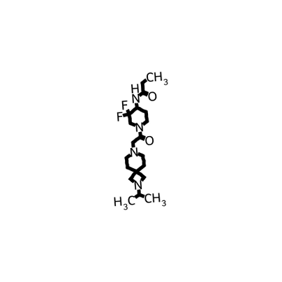 CCC(=O)NC1CCN(C(=O)CN2CCC3(CC2)CN(C(C)C)C3)CC1(F)F